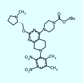 Cc1cc([N+](=O)[O-])c([N+](=O)[O-])c(N2CCc3c(nc(OC[C@@H]4CCCN4C)nc3N3CCN(C(=O)OC(C)(C)C)CC3)C2)c1C